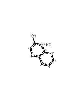 Cl.Oc1cnc2cccnc2n1